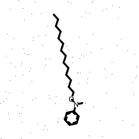 [CH2]N(OCCCCCCCCCCCCCC)c1ccccc1